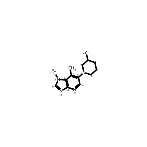 Cc1c(N2CCCC(C)C2)cnc2ncn(C)c12